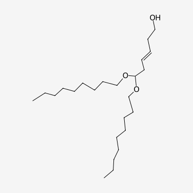 CCCCCCCCCOC(C/C=C/CCO)OCCCCCCCCC